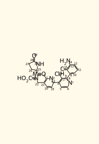 COc1nc(-c2ccnc(-c3cccc(N)c3C)c2Cl)ccc1CN(C[C@@H]1CCC(=O)N1)C(=O)O